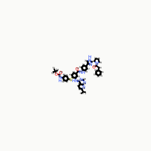 CC(C)c1ccc2c(Nc3cc(C(=O)Nc4ccc(-c5c[nH]c([C@@H]6CCCN6C(=O)Cc6ccccc6)n5)cc4)ccc3Sc3ccc(NC(=O)OC(C)(C)C)cc3)ncnc2n1